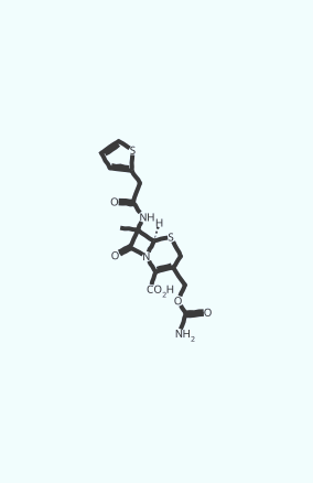 CC1(NC(=O)Cc2cccs2)C(=O)N2C(C(=O)O)=C(COC(N)=O)CS[C@@H]21